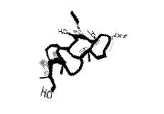 CC[C@H]1C(O)C2C3CC[C@H]([C@H](C)CO)[C@@]3(C)CCC2[C@@]2(C)CC[C@@H](O)C[C@@H]12